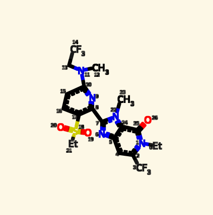 CCn1c(C(F)(F)F)cc2nc(-c3nc(N(C)CC(F)(F)F)ccc3S(=O)(=O)CC)n(C)c2c1=O